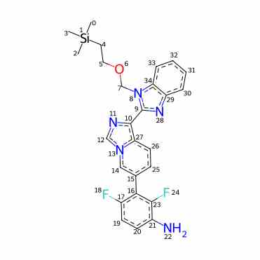 C[Si](C)(C)CCOCn1c(-c2ncn3cc(-c4c(F)ccc(N)c4F)ccc23)nc2ccccc21